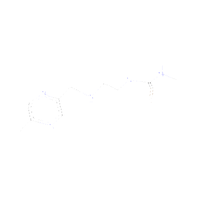 CNC(=S)NCCNCc1cnc(C)cn1